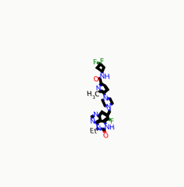 CCN1C(=O)Nc2c(F)c(CN3CCN(c4ccc(C(=O)NC5CC(F)(F)C5)nc4C)CC3)cc3ncnc1c23